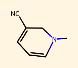 CN1C=CC=C(C#N)C1